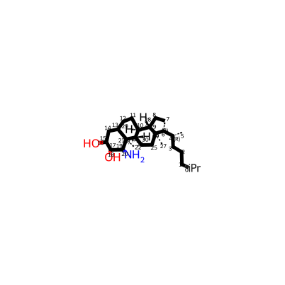 CC(C)CCC[C@@H](C)[C@H]1CC[C@H]2[C@@H]3CCC4CC(O)C(O)C(N)[C@]4(C)[C@H]3CC[C@]12C